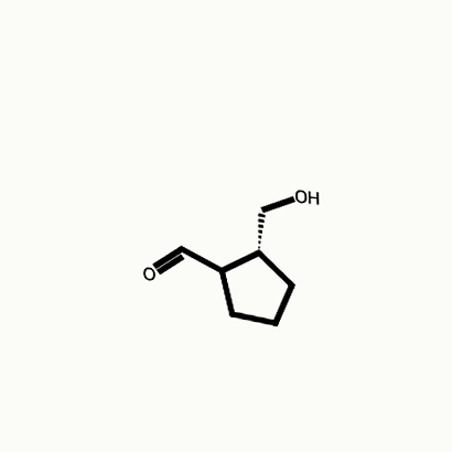 O=CC1CCC[C@H]1CO